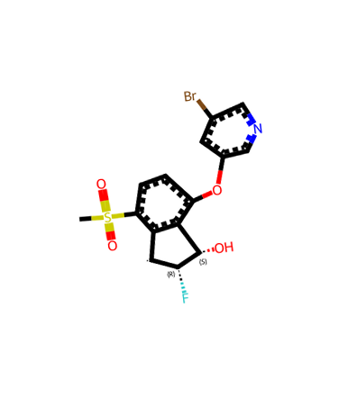 CS(=O)(=O)c1ccc(Oc2cncc(Br)c2)c2c1[CH][C@@H](F)[C@H]2O